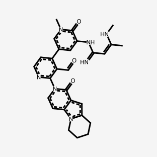 CN/C(C)=C\C(=N)Nc1cc(-c2ccnc(-n3ccc4c(cc5n4CCCC5)c3=O)c2C=O)cn(C)c1=O